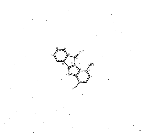 CC(C)c1ccc(C(C)C)c2c1nc1n2C(=O)c2ccccc2-1